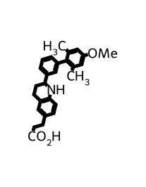 COc1cc(C)c(-c2cccc(C3CCc4cc(CCC(=O)O)ccc4N3)c2)c(C)c1